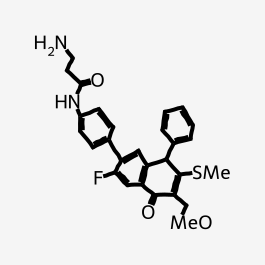 COCC1=C(SC)C(c2ccccc2)c2cc(-c3ccc(NC(=O)CCN)cc3)c(F)cc2C1=O